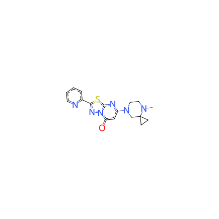 CN1CCN(c2cc(=O)n3nc(-c4ccccn4)sc3n2)CC12CC2